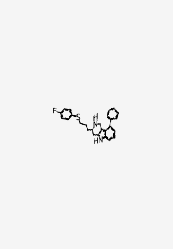 Fc1ccc(SCCCC2Cc3[nH]c4cccc(-c5ccccc5)c4c3CN2)cc1